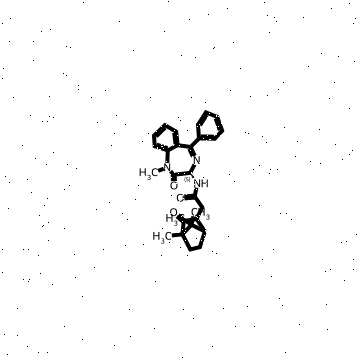 CN1C(=O)[C@@H](NC(=O)CC2C(=O)C3(C)CCC2C3(C)C)N=C(c2ccccc2)c2ccccc21